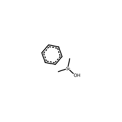 C[Si](C)O.c1ccccc1